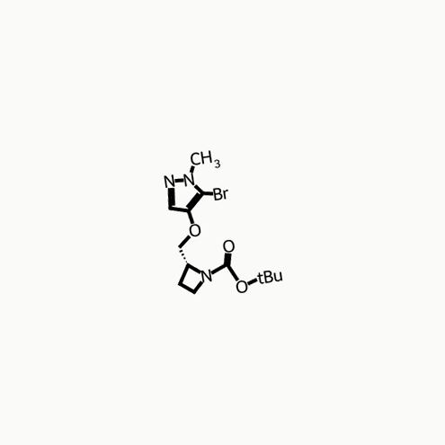 Cn1ncc(OC[C@H]2CCN2C(=O)OC(C)(C)C)c1Br